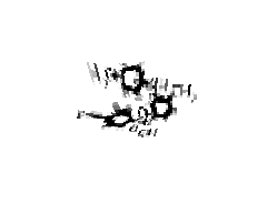 Cc1ccc(NS(=O)(=O)c2ccc(C(C)C)cc2)cc1NC1CCN(C)CC1.Cl